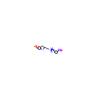 CCS(=O)(=O)c1ccc2c(c1)CCC(CCCSc1nnc(-c3cccc(-c4noc(C)n4)c3)n1C)CN2